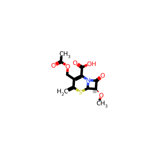 C=C1SC2[C@@H](OC)C(=O)N2C(C(=O)O)=C1COC(C)=O